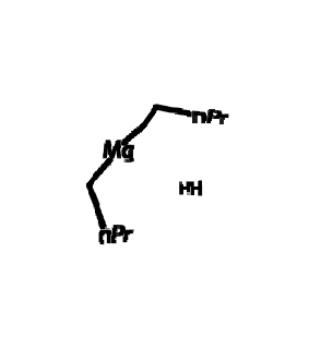 CCC[CH2][Mg][CH2]CCC.[HH]